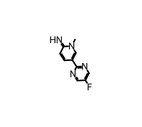 Cn1cc(-c2ncc(F)cn2)ccc1=N